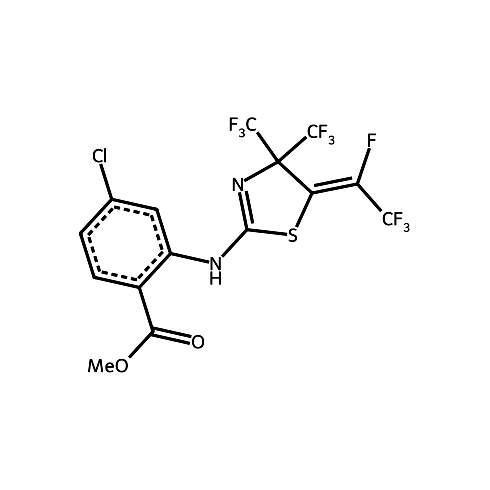 COC(=O)c1ccc(Cl)cc1NC1=NC(C(F)(F)F)(C(F)(F)F)C(=C(F)C(F)(F)F)S1